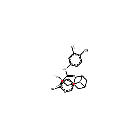 C[C@](O)(CN1CC2CC(C1)N2c1cnc(C#N)nc1)C(=O)Nc1ccc(C#N)c(C(F)(F)F)c1